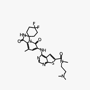 Cc1cc(Nc2ncnc3sc(C(=O)N(C)CCN(C)C)cc23)c(=O)n2c1C(=O)NC21CCC(F)(F)CC1